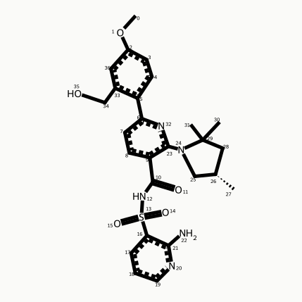 COc1ccc(-c2ccc(C(=O)NS(=O)(=O)c3cccnc3N)c(N3C[C@@H](C)CC3(C)C)n2)c(CO)c1